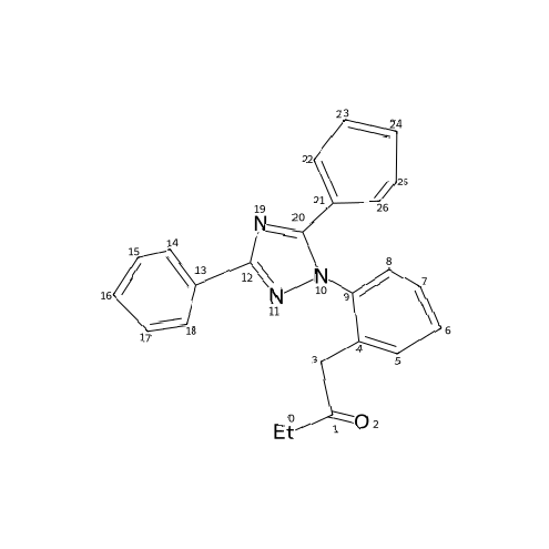 CCC(=O)Cc1ccccc1-n1nc(-c2ccccc2)nc1-c1ccccc1